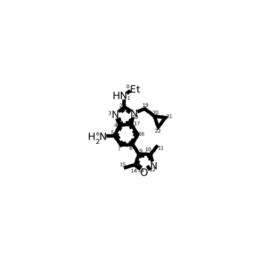 CCNc1nc2c(N)cc(-c3c(C)noc3C)cc2n1CC1CC1